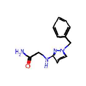 NC(=O)CNc1ccn(Cc2ccccc2)n1